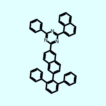 c1ccc(-c2nc(-c3ccc4cc(-c5c(-c6ccccc6)cccc5-c5ccccc5)ccc4c3)nc(-c3cccc4ccccc34)n2)cc1